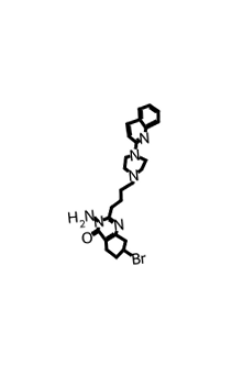 Nn1c(CCCCN2CCN(c3ccc4ccccc4n3)CC2)nc2c(c1=O)CCC(Br)C2